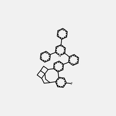 Fc1ccc2c(c1)-c1cc(-c3ccccc3-c3cc(-c4ccccc4)cc(-c4ccccc4)n3)ccc1C1CC3CC4CC2CC431